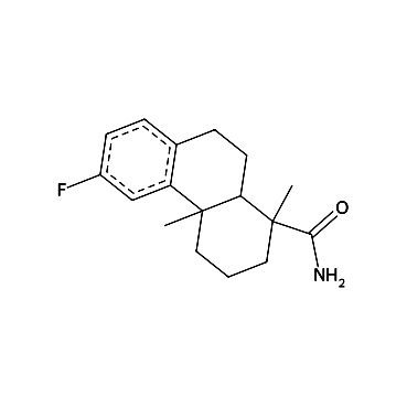 CC1(C(N)=O)CCCC2(C)c3cc(F)ccc3CCC12